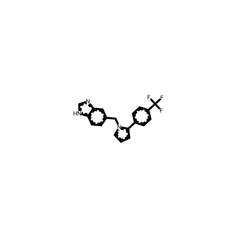 FC(F)(F)c1ccc(-c2cccn2Cc2ccc3[nH]cnc3c2)cc1